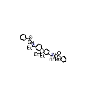 CCCCCC/C(=N\OC(=O)c1ccccc1)c1ccc2c(c1)C(CC)(CC)c1cc(/C(CC)=N/OC(=O)c3ccccc3)ccc1-2